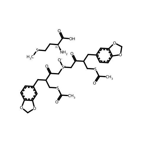 CC(=O)SCC(Cc1ccc2c(c1)OCO2)C(=O)C[S+]([O-])CC(=O)C(CSC(C)=O)Cc1ccc2c(c1)OCO2.CSCC[C@H](N)C(=O)O